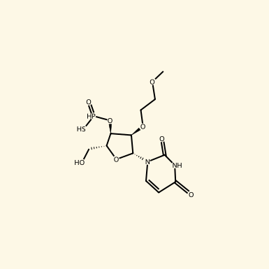 COCCO[C@@H]1[C@H](O[PH](=O)S)[C@@H](CO)O[C@H]1n1ccc(=O)[nH]c1=O